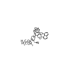 CC(C)(C)OC(=O)N1CCN(c2nc(S(C)(=O)=O)nc3c2COC(c2cccc4cccc(Cl)c24)C3)C[C@@H]1CC#N